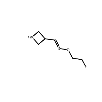 FCCON=CC1CNC1